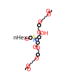 C=CC(=O)OCCCCCCOc1ccc(CCOC(=O)c2ccc3c(c2)nc(Sc2ccc(OCCCCCC)cc2)c2cc(C(O)OCCc4ccc(OCCCCCCOC(=O)C=C)cc4)ccc23)cc1